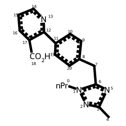 CCCn1nc(C)nc1Cc1ccc(-c2ncccc2C(=O)O)cc1